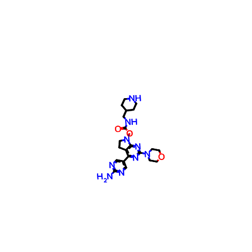 Nc1ncc(-c2nc(N3CCOCC3)nc3c2CCN3OC(=O)NCC2CCNCC2)cn1